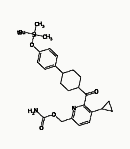 CC(C)(C)[Si](C)(C)Oc1ccc(C2CCC(C(=O)c3nc(COC(N)=O)ccc3C3CC3)CC2)cc1